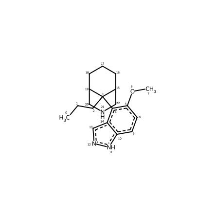 CCCC1(c2c(OC)ccc3[nH]ncc23)C2CCCC1CNC2